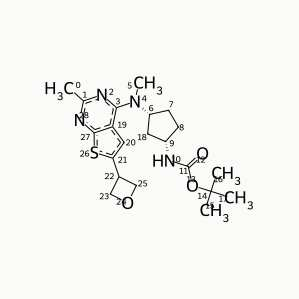 Cc1nc(N(C)[C@@H]2CC[C@H](NC(=O)OC(C)(C)C)C2)c2cc(C3COC3)sc2n1